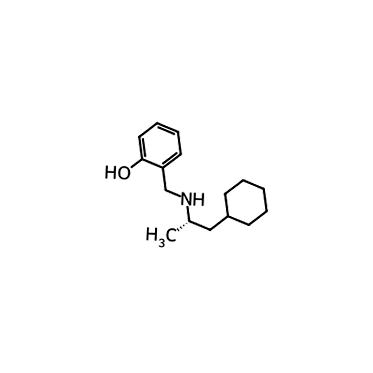 C[C@@H](CC1CCCCC1)NCc1ccccc1O